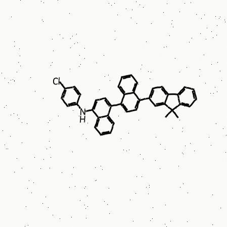 CC1(C)c2ccccc2-c2ccc(-c3ccc(-c4ccc(Nc5ccc(Cl)cc5)c5ccccc45)c4ccccc34)cc21